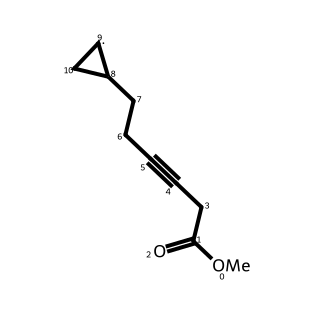 COC(=O)CC#CCCC1[CH]C1